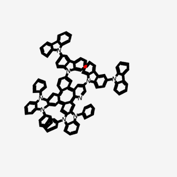 c1ccc(-n2c3ccccc3n(-c3ccccc3)c3cc4c(cc32)c2ccc(-n3c5ccccc5c5cc(-n6c7ccccc7c7ccccc76)ccc53)cc2c2cc(-n3c5ccccc5c5cc(-n6c7ccccc7c7ccccc76)ccc53)cnc2c2cc3c(cc42)n(-c2ccccc2)c2ccccc2n3-c2ccccc2)cc1